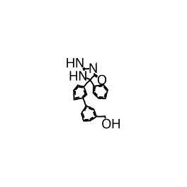 CN1C(=N)NC(c2ccccc2)(c2cccc(-c3cccc(CO)c3)c2)C1=O